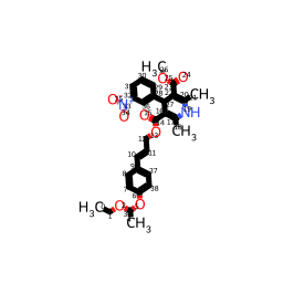 CCOC(C)Oc1ccc(C=CCOC(=O)C2=C(C)NC(C)=C(C(=O)OC)C2c2cccc([N+](=O)[O-])c2)cc1